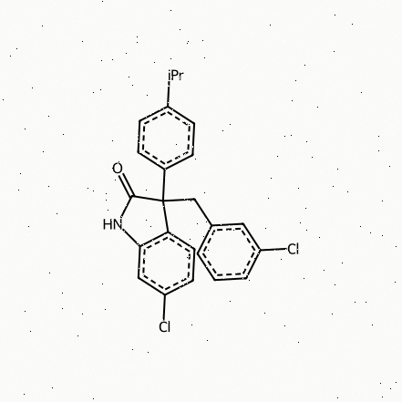 CC(C)c1ccc(C2(Cc3cccc(Cl)c3)C(=O)Nc3cc(Cl)ccc32)cc1